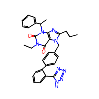 CCCc1nc2c(c(=O)n(CC)c(=O)n2C(C)c2ccccc2)n1Cc1ccc(-c2ccccc2-c2nnn[nH]2)cc1